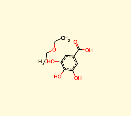 CCOCC.O=C(O)c1cc(O)c(O)c(O)c1